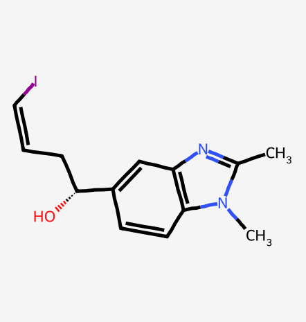 Cc1nc2cc([C@H](O)C/C=C\I)ccc2n1C